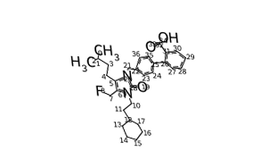 CC(C)CCc1c(CF)n(CCC2CCCCC2)c(=O)n1Cc1ccc(-c2ccccc2C(=O)O)cc1